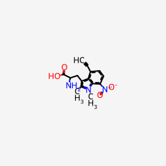 C#Cc1ccc([N+](=O)[O-])c2c1c(CC(N)C(=O)O)c(C)n2C